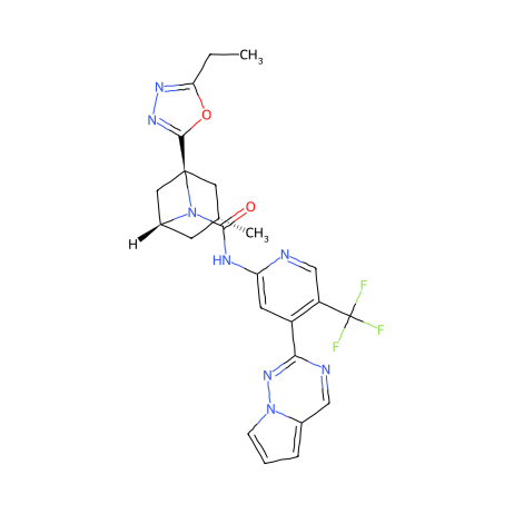 CCc1nnc([C@]23C[C@H](C)C[C@H](C2)N3C(=O)Nc2cc(-c3ncc4cccn4n3)c(C(F)(F)F)cn2)o1